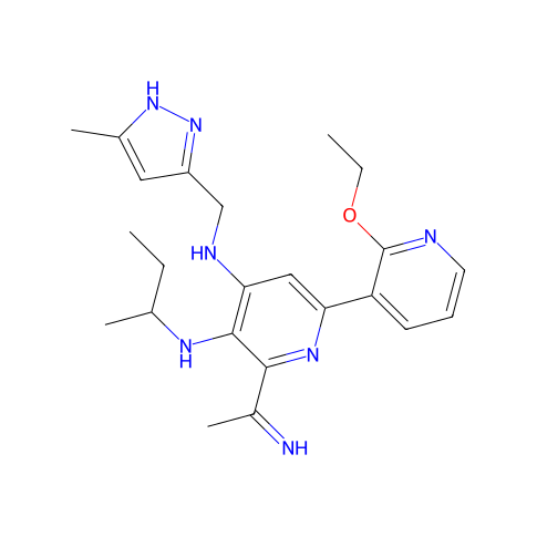 CCOc1ncccc1-c1cc(NCc2cc(C)[nH]n2)c(NC(C)CC)c(C(C)=N)n1